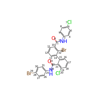 O=C(Nc1ccc(Cl)cc1)c1[c]ccc(-c2cccc(Cl)c2C(=O)Nc2ccc(Br)cc2)c1Br